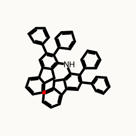 c1ccc(-c2cc3c(c(Nc4c5c(cc(-c6ccccc6)c4-c4ccccc4)-c4ccccc4C5)c2-c2ccccc2)Cc2ccccc2-3)cc1